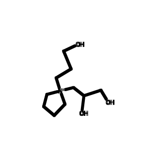 OCCC[N+]1(CC(O)CO)CCCC1